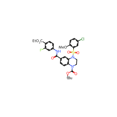 CCOC(=O)c1ccc(NC(=O)c2ccc3c(c2)N(S(=O)(=O)c2cc(Cl)ccc2OC)CCN3C(=O)OC(C)(C)C)cc1F